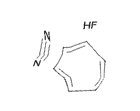 F.N#N.c1ccccc1